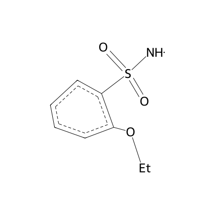 CCOc1ccccc1S([NH])(=O)=O